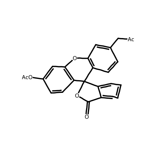 CC(=O)Cc1ccc2c(c1)Oc1cc(OC(C)=O)ccc1C21OC(=O)c2ccccc21